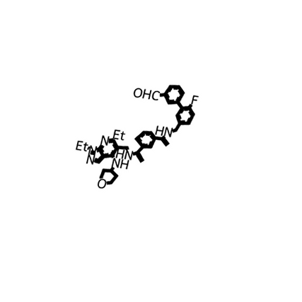 C=C(NCc1ccc(F)c(-c2cccc(C=O)c2)c1)c1cccc(C(=C)NCc2c(CC)nc3c(cnn3CC)c2NC2CCOCC2)c1